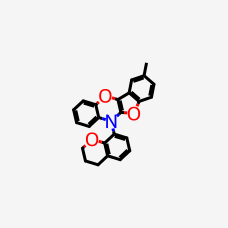 Cc1ccc2oc3c(c2c1)Oc1ccccc1N3c1cccc2c1OCCC2